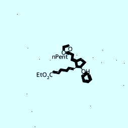 CCCCCC1(CC=C2CC[C@H](O)[C@@H]2CCCCCCC(=O)OCC)OCCO1.c1ccccc1